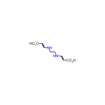 O=C(O)C=CNCCNC=CC(=O)O